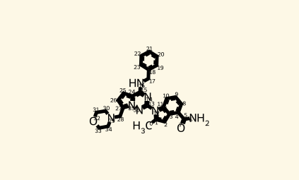 Cc1cc2c(C(N)=O)cccc2n1-c1nc(NCc2ccccc2)c2ccc(CN3CCOCC3)n2n1